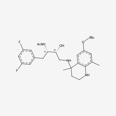 CC(=O)N[C@@H](Cc1cc(F)cc(F)c1)[C@H](O)CNC1(C)CCNc2c(C)cc(OC(C)(C)C)cc21